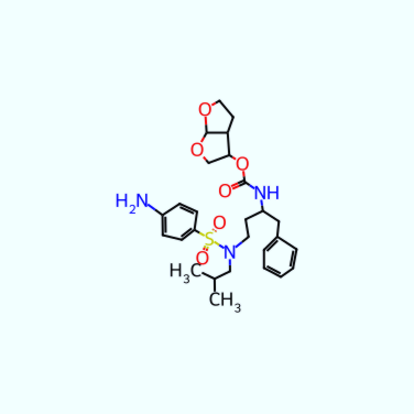 CC(C)CN(CCC(Cc1ccccc1)NC(=O)OC1COC2OCCC12)S(=O)(=O)c1ccc(N)cc1